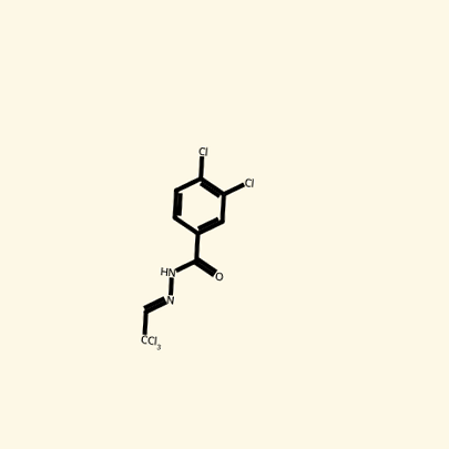 O=C(NN=CC(Cl)(Cl)Cl)c1ccc(Cl)c(Cl)c1